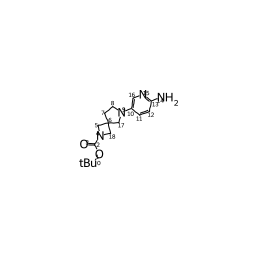 CC(C)(C)OC(=O)N1CC2(CCN(c3ccc(N)nc3)C2)C1